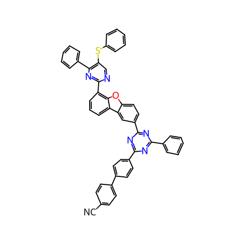 N#Cc1ccc(-c2ccc(-c3nc(-c4ccccc4)nc(-c4ccc5oc6c(-c7ncc(Sc8ccccc8)c(-c8ccccc8)n7)cccc6c5c4)n3)cc2)cc1